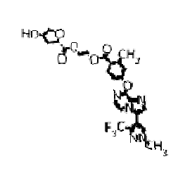 Cc1cc(Oc2nccn3c(-c4cn(C)nc4C(F)(F)F)cnc23)ccc1C(=O)OCCOC(=O)[C@@H]1C[C@@H](O)CO1